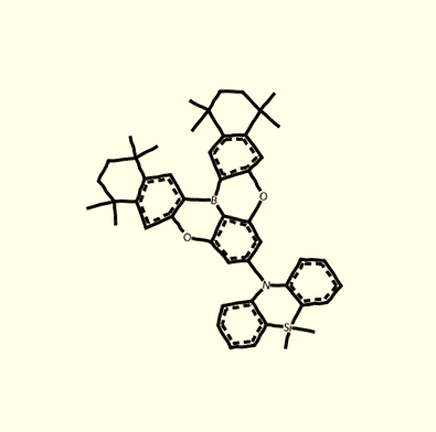 CC1(C)CCC(C)(C)c2cc3c(cc21)Oc1cc(N2c4ccccc4[Si](C)(C)c4ccccc42)cc2c1B3c1cc3c(cc1O2)C(C)(C)CCC3(C)C